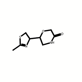 CC1=NC(C2CNC(=O)CO2)CS1